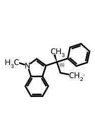 [CH2]C[C@@](C)(c1ccccc1)c1cn(C)c2ccccc12